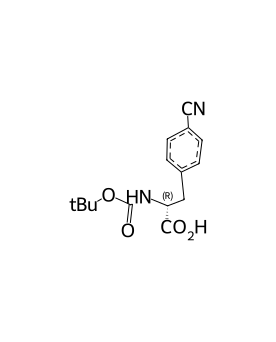 CC(C)(C)OC(=O)N[C@H](Cc1ccc(C#N)cc1)C(=O)O